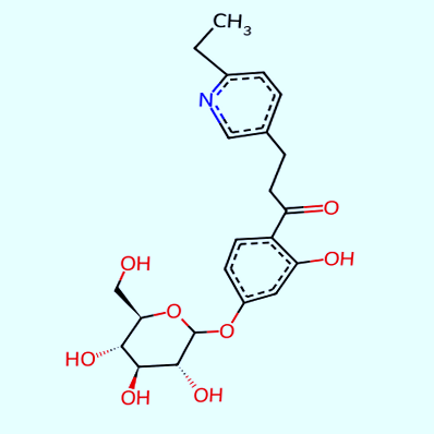 CCc1ccc(CCC(=O)c2ccc(OC3O[C@H](CO)[C@@H](O)[C@H](O)[C@H]3O)cc2O)cn1